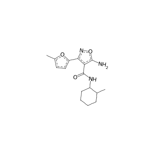 Cc1ccc(-c2noc(N)c2C(=O)NC2CCCCC2C)o1